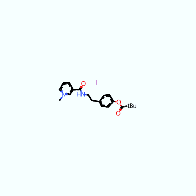 C[n+]1cccc(C(=O)NCCc2ccc(OC(=O)C(C)(C)C)cc2)c1.[I-]